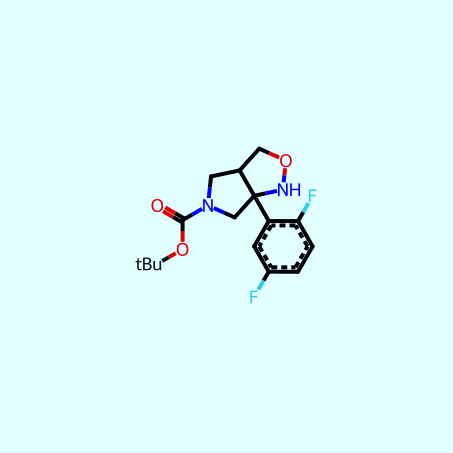 CC(C)(C)OC(=O)N1CC2CONC2(c2cc(F)ccc2F)C1